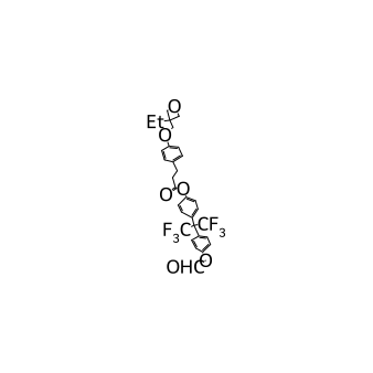 CCC1(COc2ccc(CCC(=O)Oc3ccc(C(c4ccc(OC=O)cc4)(C(F)(F)F)C(F)(F)F)cc3)cc2)COC1